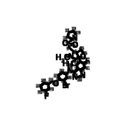 CC(N(C)CCS(=O)(=O)c1ccccn1)C1(c2cc3c(Nc4ccc(OCc5cccc(F)c5)c(Br)c4)ncnc3cc2F)CC=CO1